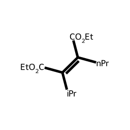 CCC/C(C(=O)OCC)=C(/C(=O)OCC)C(C)C